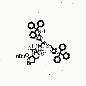 CCCCOC(=O)C1=C(CBr)C[S+]([O-])[C@@H]2[C@@H](NC(=O)/C(=N\OCc3cn(C(c4ccccc4)(c4ccccc4)c4ccccc4)cn3)c3csc(NC(c4ccccc4)(c4ccccc4)c4ccccc4)n3)C(=O)N12